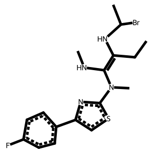 CC/C(NC(C)Br)=C(/NC)N(C)c1nc(-c2ccc(F)cc2)cs1